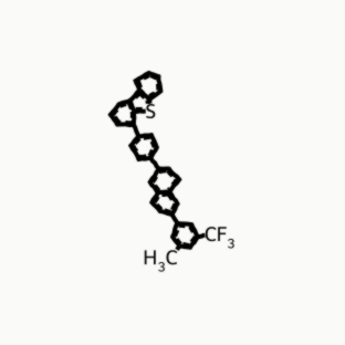 Cc1cc(-c2ccc3cc(-c4ccc(-c5cccc6c5sc5ccccc56)cc4)ccc3c2)cc(C(F)(F)F)c1